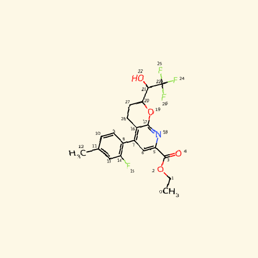 CCOC(=O)c1cc(-c2ccc(C)cc2F)c2c(n1)OC(C(O)C(F)(F)F)CC2